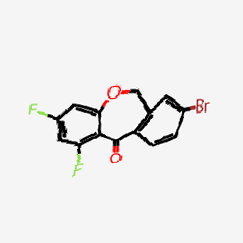 O=C1c2ccc(Br)cc2COc2cc(F)cc(F)c21